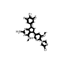 CNc1nc(N)nc2c1C(c1cnc(-n3cnc(Cl)c3)c(OC)c1)CC2c1cc(F)c(F)c(F)c1